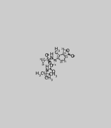 Cc1c([C@H](COC(=O)NC(C)(C)C)NS(=O)(=O)C2CC2)ccc2c1COC2=O